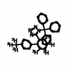 [2H]c1c([2H])c([2H])c(-c2nnnn2C(c2ccccc2)(c2ccccc2)c2ccccc2)c(-c2ccc(C([2H])([2H])[2H])cc2)c1[2H]